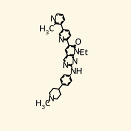 CCn1c(=O)c(-c2ccc(-c3cccnc3C)cn2)cc2cnc(Nc3ccc(C4CCN(C)CC4)cc3)nc21